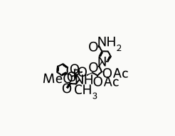 COC(=O)[C@H](C)NP(=O)(OC[C@H]1O[C@@H](N2C=CCC(C(N)=O)=C2)[C@H](OC(C)=O)[C@@H]1OC(C)=O)Oc1ccccc1